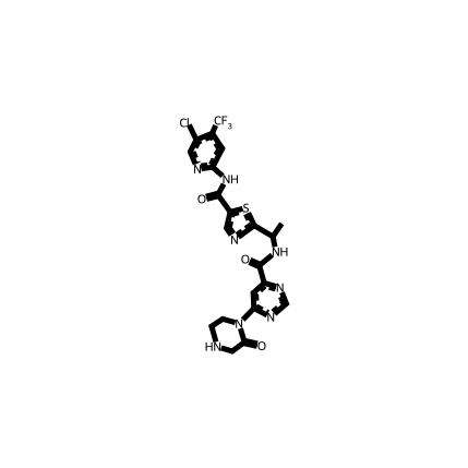 CC(NC(=O)c1cc(N2CCNCC2=O)ncn1)c1ncc(C(=O)Nc2cc(C(F)(F)F)c(Cl)cn2)s1